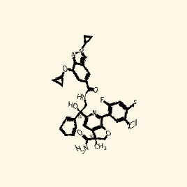 C[C@]1(C(N)=O)COc2c1cc([C@@](O)(CNC(=O)c1cc(OC3CC3)c3nn(C4CC4)cc3c1)c1ccccc1)nc2-c1cc(Cl)c(F)cc1F